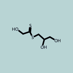 OCC(=S)SCC(O)CO